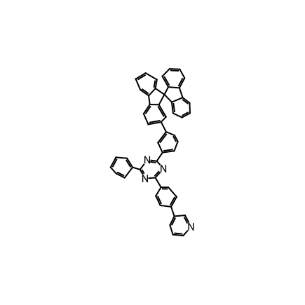 c1ccc(-c2nc(-c3ccc(-c4cccnc4)cc3)nc(-c3cccc(-c4ccc5c(c4)C4(c6ccccc6-c6ccccc64)c4ccccc4-5)c3)n2)cc1